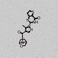 Cc1c(C(=O)N2CC3CCC(C2)OC3)cnn1-c1nc2ccsc2c(=O)[nH]1